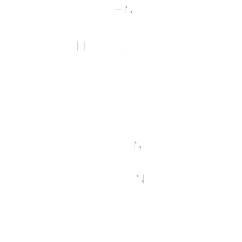 C[C@@]1(COc2ccc(Cl)nn2)CCN1